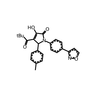 Cc1ccc(C2C(C(=O)C(C)(C)C)=C(O)C(=O)N2c2ccc(-c3ccon3)cc2)cc1